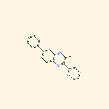 Cc1nc2cc(-c3ccccc3)ccc2nc1-c1ccccc1